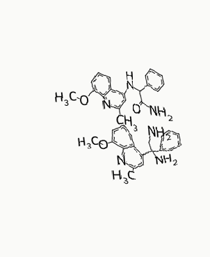 COc1cccc2c(C(N)(CN)c3ccccc3)cc(C)nc12.COc1cccc2c(NC(C(N)=O)c3ccccc3)cc(C)nc12